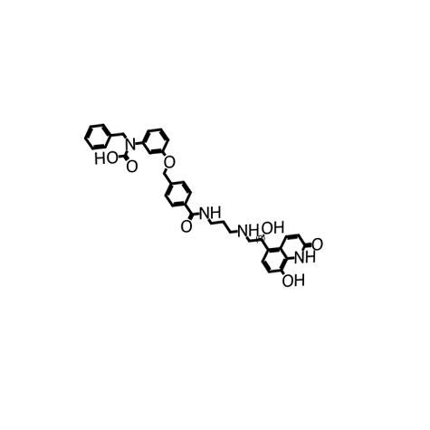 O=C(NCCCNC[C@H](O)c1ccc(O)c2[nH]c(=O)ccc12)c1ccc(COc2cccc(N(Cc3ccccc3)C(=O)O)c2)cc1